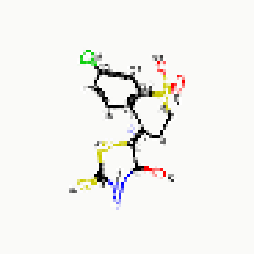 O=C1NC(=S)S/C1=C1/CCS(=O)(=O)c2cc(Cl)ccc21